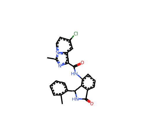 Cc1ccccc1C1NC(=O)c2cccc(NC(=O)c3nc(C)n4ccc(Cl)cc34)c21